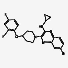 Fc1ccc(OC2CCN(c3nc4cc(Br)ccc4nc3NC3CC3)CC2)c(F)c1